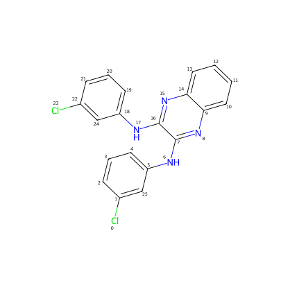 Clc1cccc(Nc2nc3ccccc3nc2Nc2cccc(Cl)c2)c1